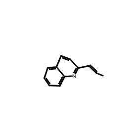 CC=Cc1ccc2ccccc2n1